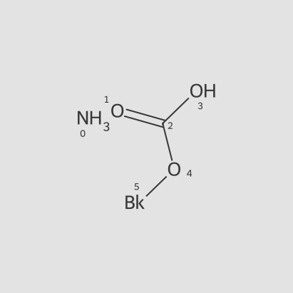 N.O=C(O)[O][Bk]